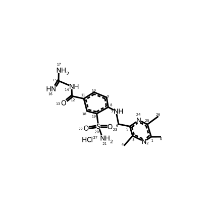 Cc1nc(C)c(CNc2ccc(C(=O)NC(=N)N)cc2S(N)(=O)=O)nc1C.Cl